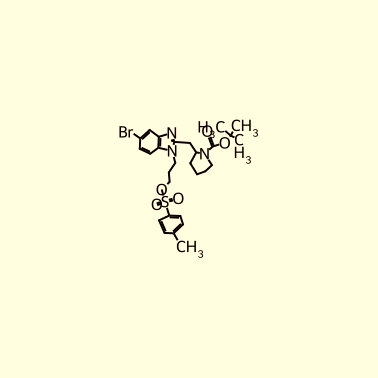 Cc1ccc(S(=O)(=O)OCCCn2c(CC3CCCCN3C(=O)OC(C)(C)C)nc3cc(Br)ccc32)cc1